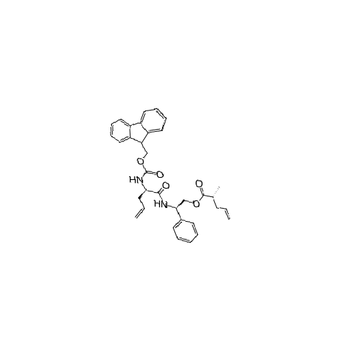 C=CC[C@@H](C)C(=O)OC[C@H](NC(=O)[C@@H](CC=C)NC(=O)OCC1c2ccccc2-c2ccccc21)c1ccccc1